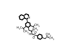 CC(C)c1cc(-c2nccc3ccccc23)cc(C(C)C)c1CC(=O)NS(=O)(=O)c1ccc(CN(C)C)cc1